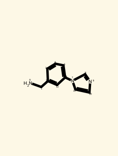 NCc1cccc(-n2[c]ncc2)c1